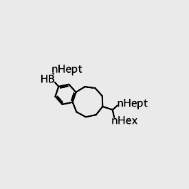 CCCCCCCBc1ccc2c(c1)CCCC(C(CCCCCC)CCCCCCC)CCC2